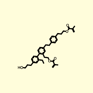 C=C(C)C(=O)OCCCc1ccc(CCc2ccc(-c3ccc(CCCO)cc3CC)c(CCOC(=O)C(=C)C)c2)cc1